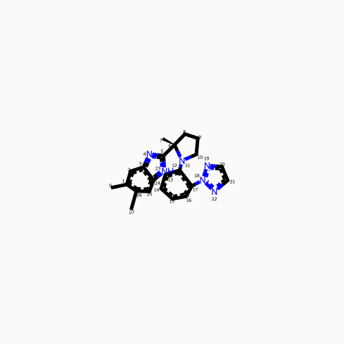 Cc1cc2nc([C@]3(C)CCCN3c3ccc[c]c3-n3nccn3)[nH]c2cc1C